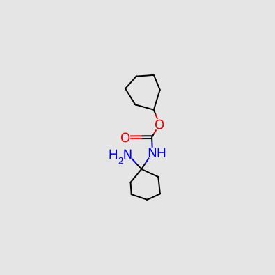 NC1(NC(=O)OC2CCCCC2)CCCCC1